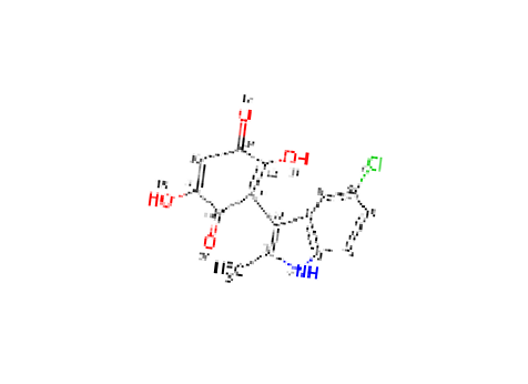 Cc1[nH]c2ccc(Cl)cc2c1C1=C(O)C(=O)C=C(O)C1=O